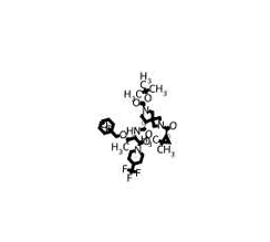 C[C@@H](OCC12CCC(CC1)OC2)[C@H](NC(=O)[C@@H]1CN(C(=O)OC(C)(C)C)CC12CN(C(=O)[C@H]1CC1(C)C)C2)C(=O)N1CCC(C(F)(F)F)CC1